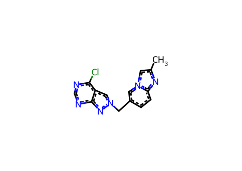 Cc1cn2cc(Cn3cc4c(Cl)ncnc4n3)ccc2n1